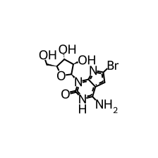 Nc1[nH]c(=O)n([C@H]2O[C@@H](CO)[C@H](O)[C@H]2O)c2nc(Br)cc1-2